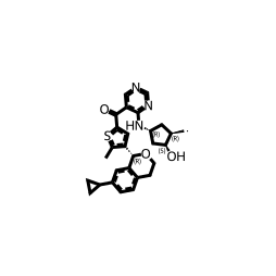 [CH2][C@@H]1C[C@@H](Nc2ncncc2C(=O)c2cc([C@@H]3OCCc4ccc(C5CC5)cc43)c(C)s2)C[C@@H]1O